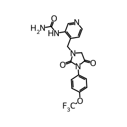 NC(=O)Nc1cnccc1CN1CC(=O)N(c2ccc(OC(F)(F)F)cc2)C1=O